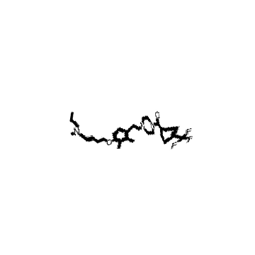 CCCN(C)CCCCOc1ccc(CCN2CCN(C(=O)c3ccc(C(F)(F)F)cc3)CC2)c(C)c1C